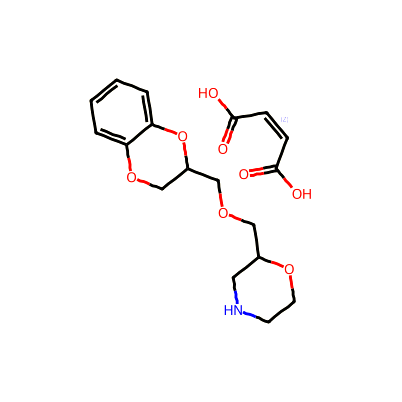 O=C(O)/C=C\C(=O)O.c1ccc2c(c1)OCC(COCC1CNCCO1)O2